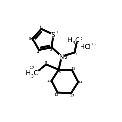 CCN(c1cccs1)C1(CC)CCCCC1.Cl